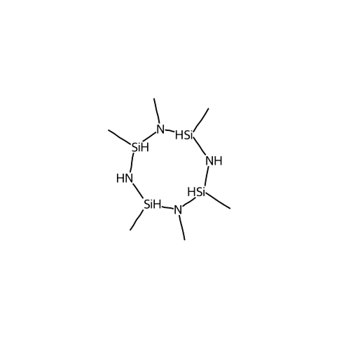 CN1[SiH](C)N[SiH](C)N(C)[SiH](C)N[SiH]1C